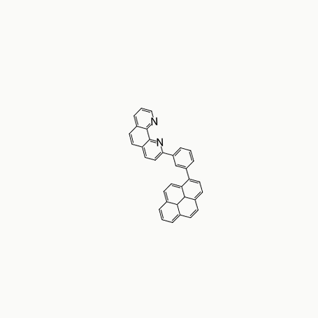 C1=CC2=CC=C3C(c4cccc(-c5ccc6ccc7cccnc7c6n5)c4)=CC=C4C=CC(=C1)C2C43